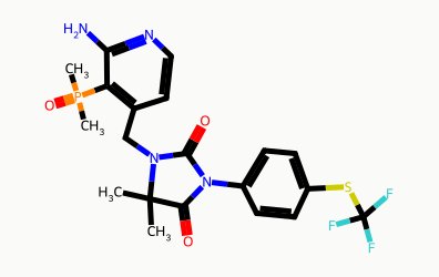 CC1(C)C(=O)N(c2ccc(SC(F)(F)F)cc2)C(=O)N1Cc1ccnc(N)c1P(C)(C)=O